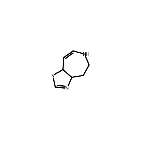 C1=CC2SC=NC2CCN1